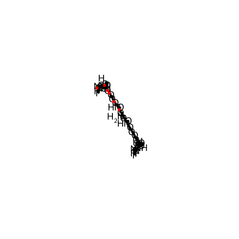 CC1(C)O[C@@H]2[C@H](O1)[C@@H](Nc1cncc(C(F)(F)F)n1)CO[C@@H]2COCCOCCOCCOCCNC(=O)CCOCC(N)COCCC(=O)NCCOCCOCCOCCOC[C@H]1OC[C@H](Nc2cncc(C(F)(F)F)n2)[C@H]2OC(C)(C)O[C@H]21